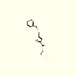 COCCNC(=O)c1cc(COCC2=CCCC=C2)on1